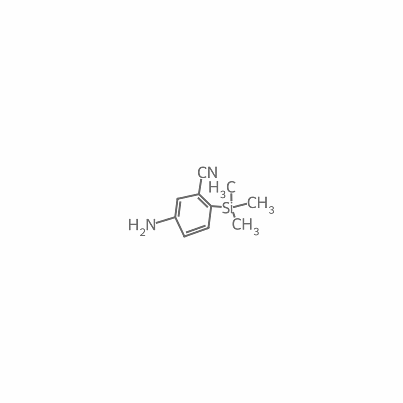 C[Si](C)(C)c1ccc(N)cc1C#N